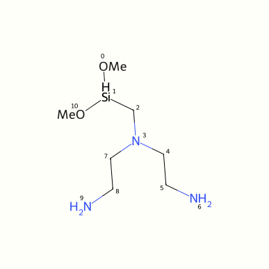 CO[SiH](CN(CCN)CCN)OC